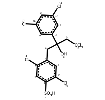 O=S(=O)(O)c1cc(Cl)c(CC(O)(CC(Cl)(Cl)Cl)c2cc(Cl)cc(Cl)c2)cc1Cl